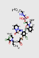 C=CCN(CC=C)C(=O)C(Cl)Cl.CCc1cccc(CC)c1N(COC)C(=O)CCl.COC(=O)CSc1cc(/N=c2\sc(=O)n3n2CCCC3)c(F)cc1Cl.O=C(O)CNCP(=O)(O)O